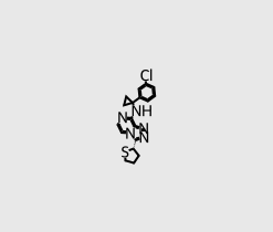 Clc1cccc(C2(Nc3nccn4c([C@@H]5CCCS5)nnc34)CC2)c1